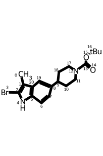 Cc1c(Br)[nH]c2ccc(C3CCN(C(=O)OC(C)(C)C)CC3)cc12